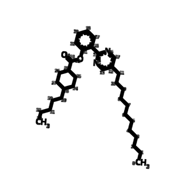 CCCCCCCCCCCCc1cnc(-c2ccccc2OC(=O)C2CCC(CCCCC)CC2)nc1